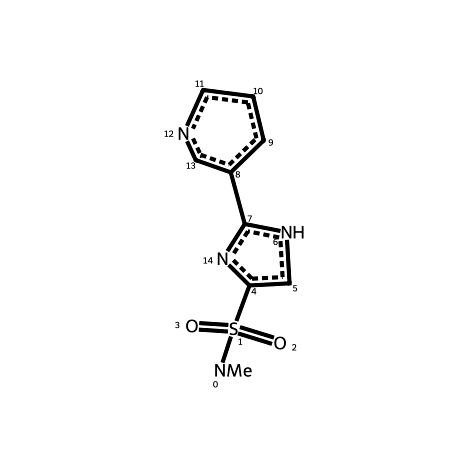 CNS(=O)(=O)c1c[nH]c(-c2cccnc2)n1